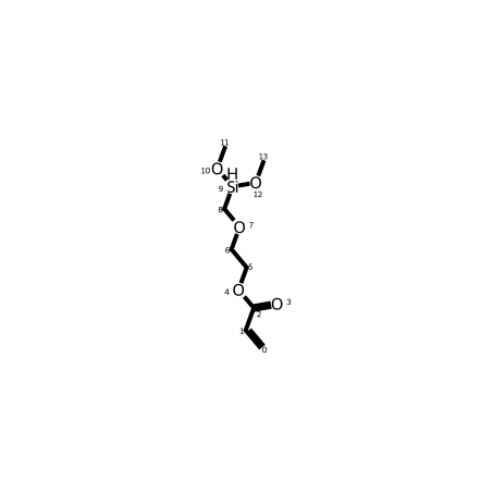 C=CC(=O)OCCOC[SiH](OC)OC